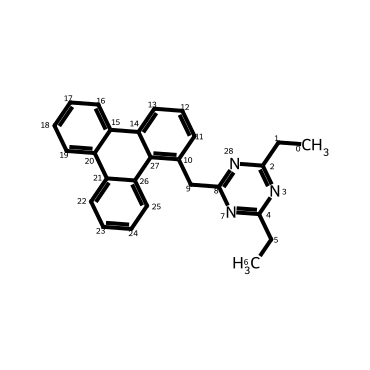 CCc1nc(CC)nc(Cc2cccc3c4ccccc4c4ccccc4c23)n1